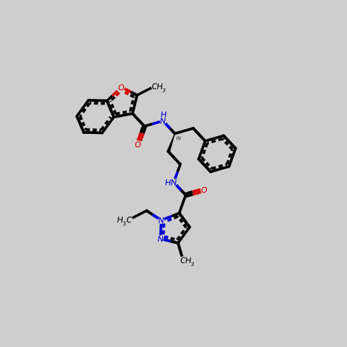 CCn1nc(C)cc1C(=O)NCC[C@H](Cc1ccccc1)NC(=O)c1c(C)oc2ccccc12